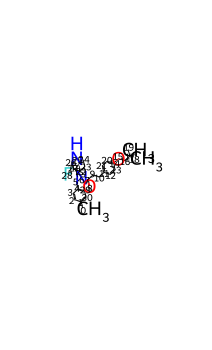 Cc1ccc(CN(C(=O)CCc2ccc(OCC(C)C)cc2)[C@H]2CCNC[C@H]2F)cc1